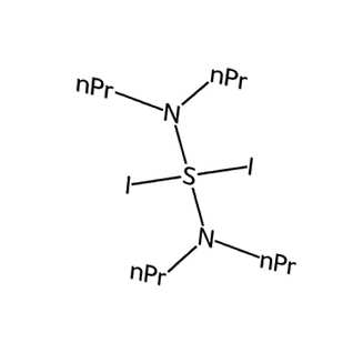 CCCN(CCC)S(I)(I)N(CCC)CCC